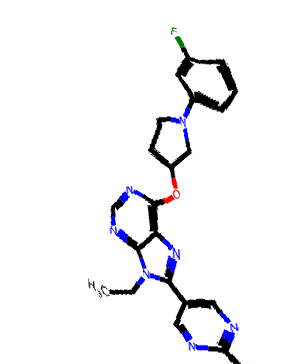 CCn1c(-c2cnc(C)nc2)nc2c(OC3CCN(c4cccc(F)c4)C3)ncnc21